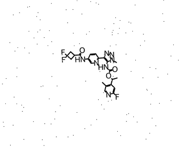 Cc1cnc(F)cc1C(C)OC(=O)Nc1c(-c2ccc(NC(=O)C3CC(F)(F)C3)cn2)nnn1C